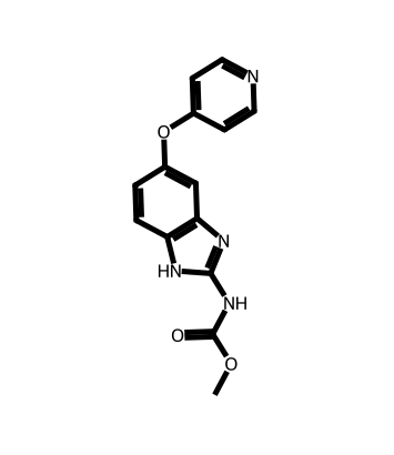 COC(=O)Nc1nc2cc(Oc3ccncc3)ccc2[nH]1